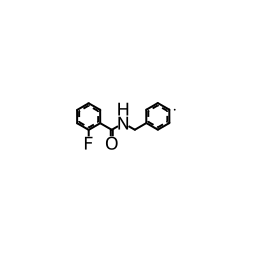 O=C(NCc1cc[c]cc1)c1ccccc1F